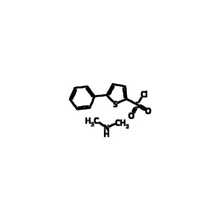 CNC.O=S(=O)(Cl)c1ccc(-c2ccccc2)s1